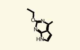 CCOc1nc(C)c2cc[nH]c2n1